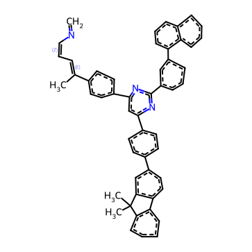 C=N/C=C\C=C(/C)c1ccc(-c2cc(-c3ccc(-c4ccc5c(c4)C(C)(C)c4ccccc4-5)cc3)nc(-c3cccc(-c4cccc5ccccc45)c3)n2)cc1